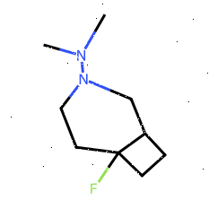 CN(C)N1CCC2(F)CCC2C1